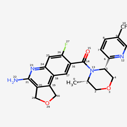 C[C@H]1COC[C@@H](c2ccc(C(F)(F)F)cn2)N1C(=O)c1cc2c3c(c(N)nc2cc1F)COC3